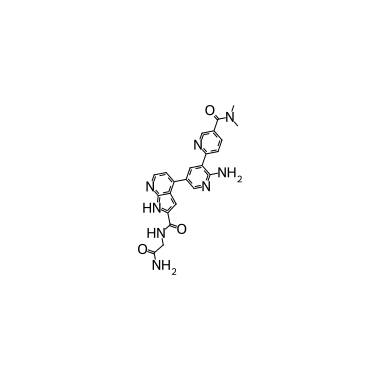 CN(C)C(=O)c1ccc(-c2cc(-c3ccnc4[nH]c(C(=O)NCC(N)=O)cc34)cnc2N)nc1